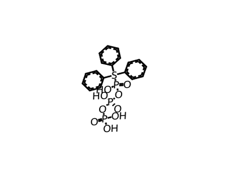 O=P(O)(O)OP(=O)(O)OP(=O)(O)S(c1ccccc1)(c1ccccc1)c1ccccc1